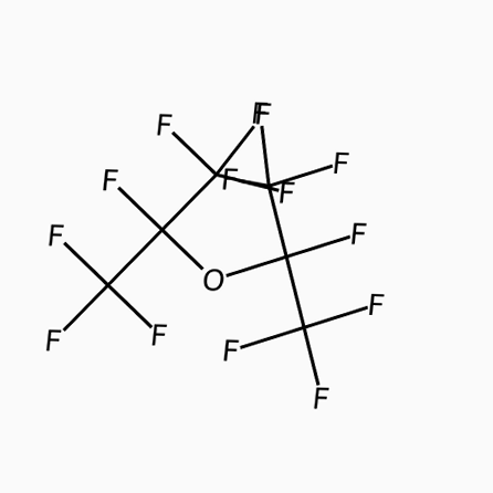 FC(F)(F)C(F)(OC(F)(C(F)(F)F)C(F)(F)F)C(F)(F)F